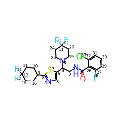 O=C(NCC(c1cnc(C2CCC(F)(F)CC2)s1)N1CCC(F)(F)CC1)c1c(F)cccc1Cl